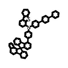 c1ccc(-c2ccc(-c3ccc(N(c4ccc(-c5cccc6c5-c5ccccc5C65c6ccccc6-c6ccc7ccccc7c65)cc4)c4cccc5c4sc4ccccc45)cc3)cc2)cc1